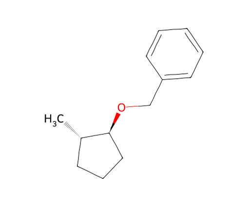 C[C@H]1CCC[C@@H]1OCc1ccccc1